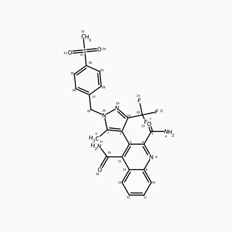 Cc1c(-c2c(C(N)=O)nc3ccccc3c2C(N)=O)c(C(F)(F)F)nn1Cc1ccc(S(C)(=O)=O)cc1